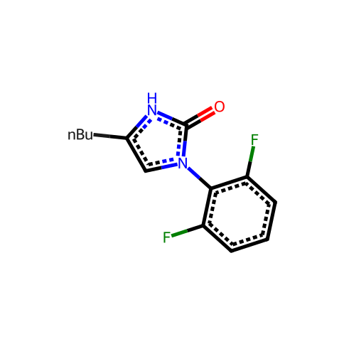 CCCCc1cn(-c2c(F)cccc2F)c(=O)[nH]1